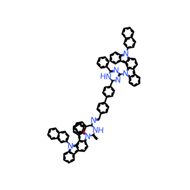 C=C(NC(/N=C/c1ccc(-c2ccc(C3N=C(n4c5ccccc5c5ccc6c(c7ccccc7n6-c6ccc7ccccc7c6)c54)N=C(c4ccccc4)N3)cc2)cc1)c1ccccc1)n1c2ccccc2c2c1ccc1c3ccccc3n(-c3ccc4ccccc4c3)c12